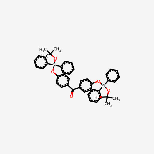 CC(C)(C)O[Si](Oc1ccc(C(=O)c2ccc(O[Si](OC(C)(C)C)(c3ccccc3)c3ccccc3)cc2)cc1)(c1ccccc1)c1ccccc1